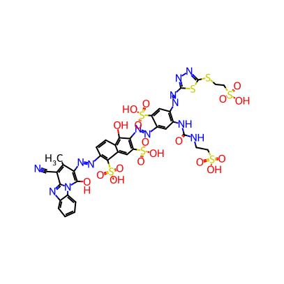 Cc1c(N=Nc2ccc3c(O)c(N=Nc4cc(NC(=O)NCCS(=O)(=O)O)c(N=Nc5nnc(SCCS(=O)(=O)O)s5)cc4S(=O)(=O)O)c(S(=O)(=O)O)cc3c2S(=O)(=O)O)c(O)n2c(nc3ccccc32)c1C#N